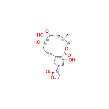 C[C@@H]1/C=C\C(=O)[C@@H](O)[C@@H](O)C/C=C/c2cc(N3CCOC3=O)cc(O)c2C(=O)O[C@H]1C